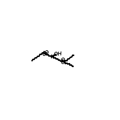 CCCCCCCCCCC(C)OC(=O)CCCCCN(CCO)CCCCCCCC(=O)OC(CCCCCCCC)CCCCCCCC